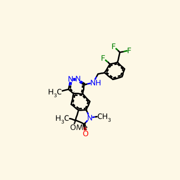 COC1(C)C(=O)N(C)c2cc3c(NCc4cccc(C(F)F)c4F)nnc(C)c3cc21